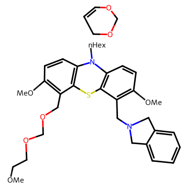 C1=COCOC1.CCCCCCN1c2ccc(OC)c(COCOCCOC)c2Sc2c1ccc(OC)c2CN1Cc2ccccc2C1